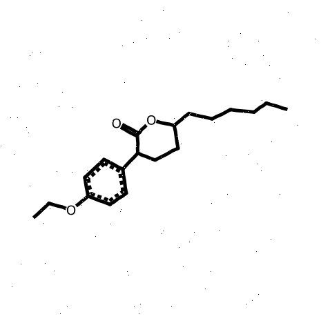 CCCCCCC1CCC(c2ccc(OCC)cc2)C(=O)O1